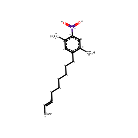 CCCCCCCCCCC=CCCCCCCc1cc(C(=O)O)c(I(=O)=O)cc1C(=O)O